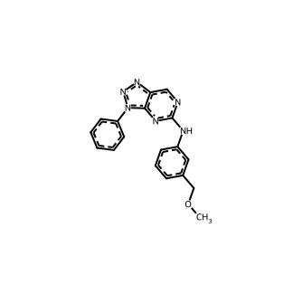 COCc1cccc(Nc2ncc3nnn(-c4ccccc4)c3n2)c1